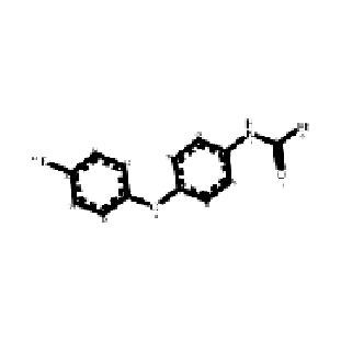 CCC(=O)Nc1ccc(Oc2ccc(F)cc2)cc1